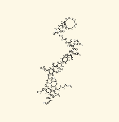 C=CCCCC(N1CCN(C)CC1)N(C)c1cc(OCCCOc2cc3c(cc2OC)C(=O)N2C=C(c4ccc(NC(=O)[C@H](C)NC(=O)[C@@H](NC(=O)CCCCCN5C(=O)CC(SC(C)(C)C6CCCCCCCCCC6)C5=O)C(C)C)cc4)C[C@H]2C=N3)c(OC)cc1C(=O)NC=C